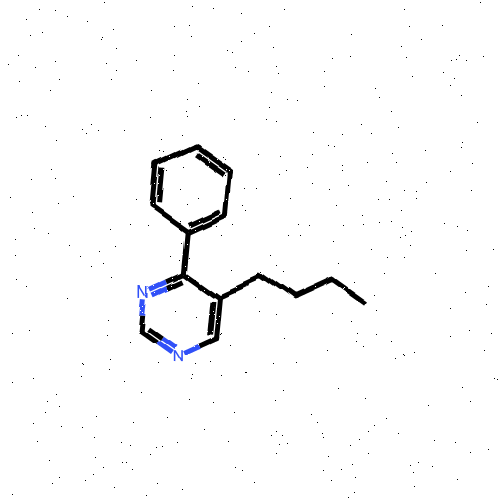 CCCCc1cncnc1-c1ccccc1